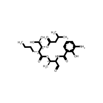 CCCC[C@@H](C(=O)O[C@H](C)C(C=O)NC(=O)c1cccc(N)c1O)[C@@H](OC(=O)CC(C)C)[C@H](C)O